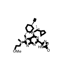 C#C[C@H]1CC[C@H](Cn2c(N(C)CCOC)nc3nc(-c4noc(=O)[nH]4)nc(N[C@H](C)C4CCC4)c32)CC1